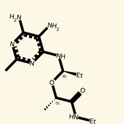 CCNC(=O)[C@H](C)O[C@H](CC)Nc1nc(C)nc(N)c1N